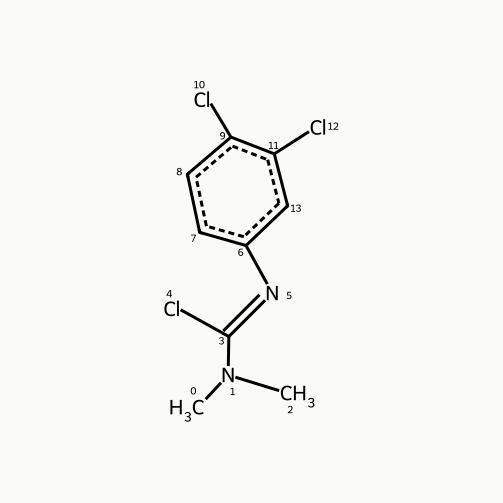 CN(C)C(Cl)=Nc1ccc(Cl)c(Cl)c1